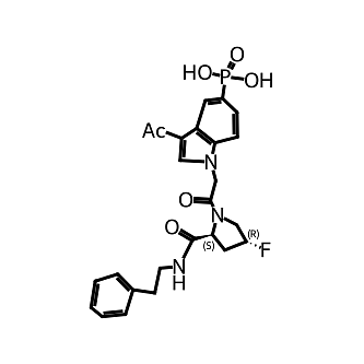 CC(=O)c1cn(CC(=O)N2C[C@H](F)C[C@H]2C(=O)NCCc2ccccc2)c2ccc(P(=O)(O)O)cc12